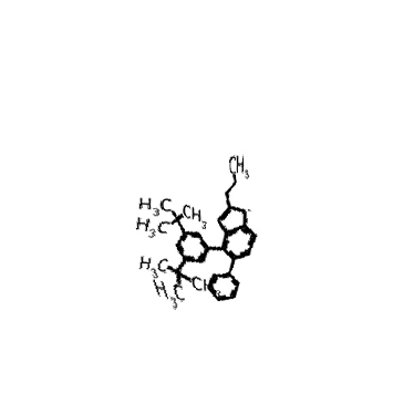 CCCC1=Cc2c(ccc(-c3ccccc3)c2-c2cc(C(C)(C)C)cc(C(C)(C)C)c2)[CH]1